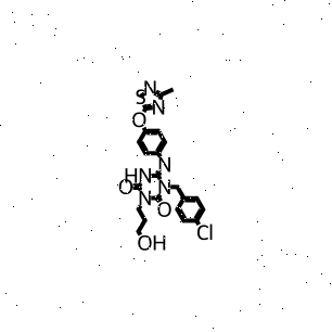 Cc1nsc(Oc2ccc(/N=c3\[nH]c(=O)n(CCCO)c(=O)n3Cc3ccc(Cl)cc3)cc2)n1